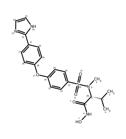 CC(C)[C@H](C(=O)NO)N(C)S(=O)(=O)c1ccc(Oc2ccc(-c3ncc[nH]3)cc2)cc1